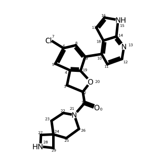 O=C(C1Cc2cc(Cl)cc(-c3ccnc4[nH]ccc34)c2O1)N1CCC2(CC1)CNC2